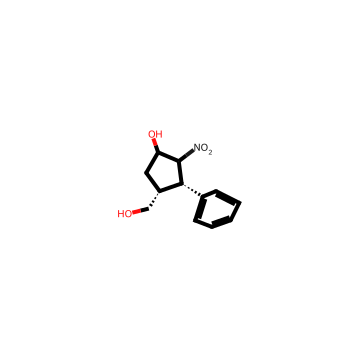 O=[N+]([O-])C1C(O)C[C@@H](CO)[C@H]1c1ccccc1